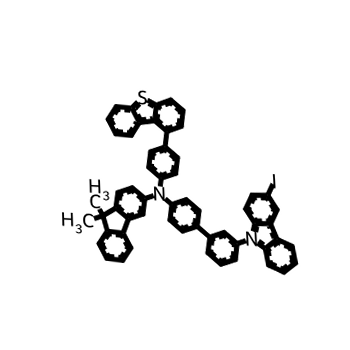 CC1(C)c2ccccc2-c2cc(N(c3ccc(-c4cccc(-n5c6ccccc6c6cc(I)ccc65)c4)cc3)c3ccc(-c4cccc5sc6ccccc6c45)cc3)ccc21